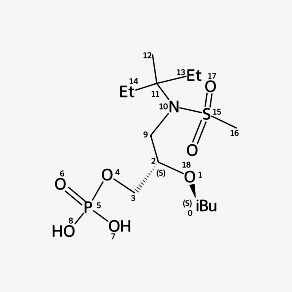 CC[C@H](C)O[C@H](COP(=O)(O)O)CN(C(C)(CC)CC)S(C)(=O)=O